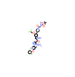 Cc1cc(OC2C(F)=CC=CC2F)ncc1-n1ncc(C(=O)c2cc3cc(OCC(F)F)c(C4CCN(C(=O)CNC(=O)OC(C)(C)C)CC4)cc3[nH]2)c1N